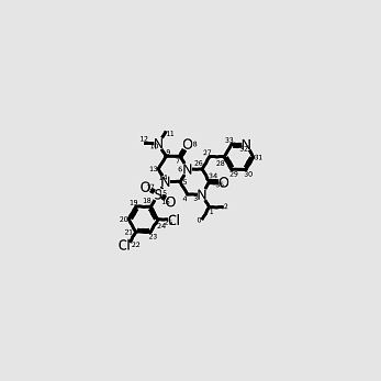 CC(C)N1CC2N(C(=O)C(N(C)C)CN2S(=O)(=O)c2ccc(Cl)cc2Cl)C(Cc2cccnc2)C1=O